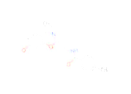 Cc1ccc(C(=O)NCCc2nc(C)c3ccc(=O)cc-3o2)cc1